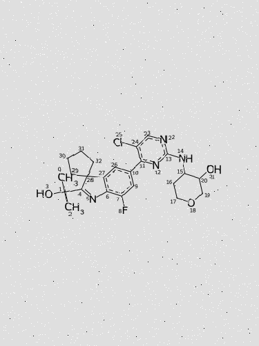 CC(C)(O)C1=Nc2c(F)cc(-c3nc(NC4CCOCC4O)ncc3Cl)cc2C12CCCC2